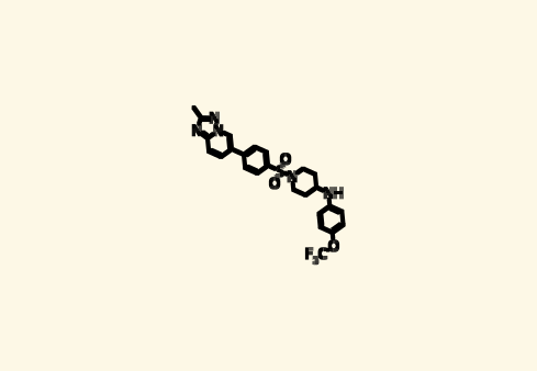 Cc1nc2ccc(-c3ccc(S(=O)(=O)N4CCC(Nc5ccc(OC(F)(F)F)cc5)CC4)cc3)cn2n1